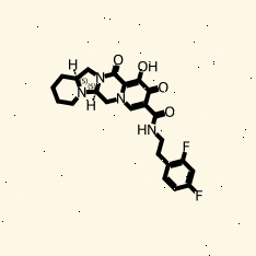 O=C(NCCc1ccc(F)cc1F)c1cn2c(c(O)c1=O)C(=O)N1C[C@@H]3CCCCN3[C@@H]1C2